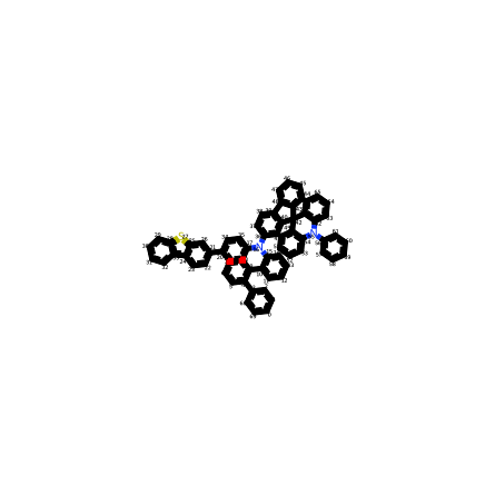 c1ccc(-c2ccccc2-c2ccccc2N(c2ccc(-c3ccc4c(c3)sc3ccccc34)cc2)c2ccc3c(c2)C2(c4ccccc4-3)c3ccccc3N(c3ccccc3)c3ccccc32)cc1